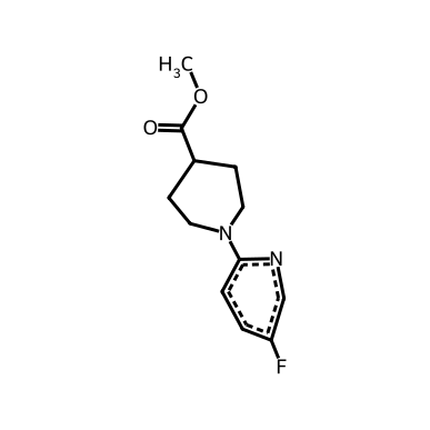 COC(=O)C1CCN(c2ccc(F)cn2)CC1